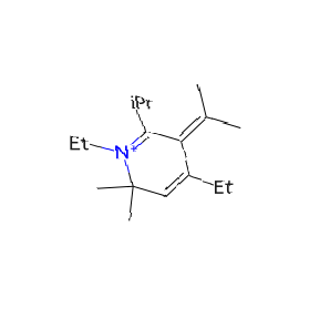 CCC1=CC(C)(C)[N+](CC)=C(C(C)C)C1=C(C)C